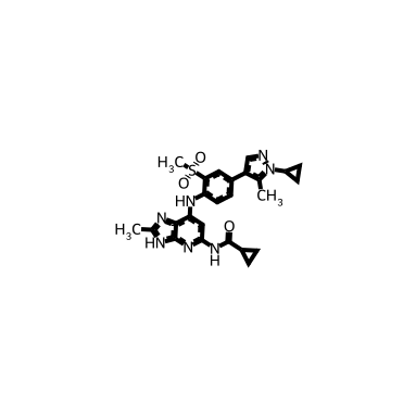 Cc1nc2c(Nc3ccc(-c4cnn(C5CC5)c4C)cc3S(C)(=O)=O)cc(NC(=O)C3CC3)nc2[nH]1